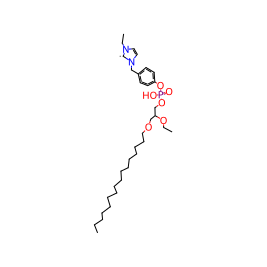 CCCCCCCCCCCCCCCCOCC(COP(=O)(O)Oc1ccc(CN2[CH]N(CC)C=C2)cc1)OCC